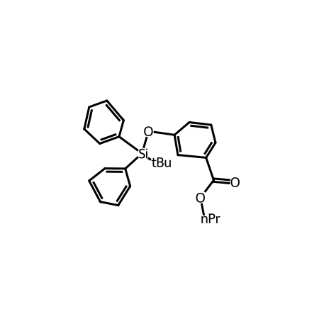 CCCOC(=O)c1cccc(O[Si](c2ccccc2)(c2ccccc2)C(C)(C)C)c1